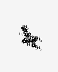 COc1ccc(Cn2c(C)cc(OCc3ccccc3CNC(=O)Nc3cc(C(C)(C)C)nn3-c3cccc(OC)c3)c(C)c2=O)cc1